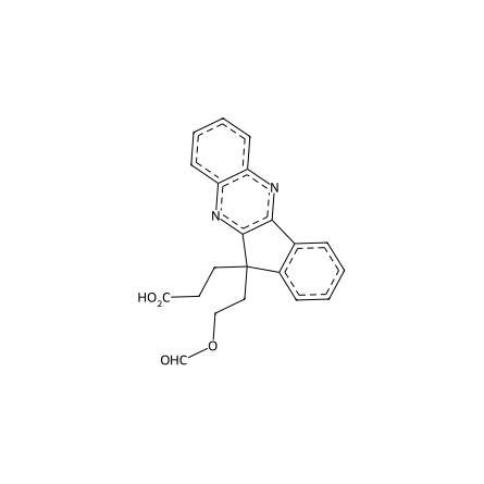 O=COCCC1(CCC(=O)O)c2ccccc2-c2nc3ccccc3nc21